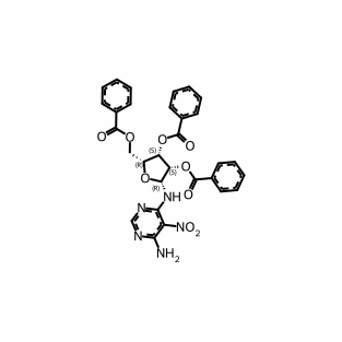 Nc1ncnc(N[C@@H]2O[C@H](COC(=O)c3ccccc3)[C@H](OC(=O)c3ccccc3)[C@@H]2OC(=O)c2ccccc2)c1[N+](=O)[O-]